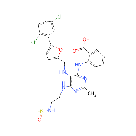 Cc1nc(NCCN[SH]=O)c(NCc2ccc(-c3cc(Cl)ccc3Cl)o2)c(Nc2ccccc2C(=O)O)n1